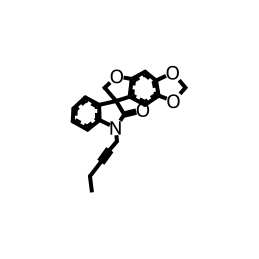 CCC#CCN1C(=O)C2(COc3cc4c(cc32)OCO4)c2ccccc21